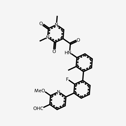 COc1nc(-c2cccc(-c3cccc(NC(=O)c4cn(C)c(=O)n(C)c4=O)c3C)c2F)ccc1C=O